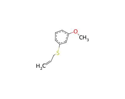 C=CCSc1cccc(OC)c1